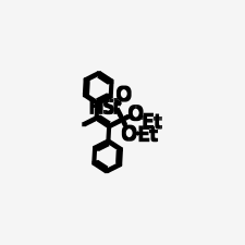 CCOC(OCC)([SiH]=O)C(=C(C)c1ccccc1)c1ccccc1